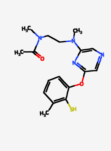 CC(=O)N(C)CCN(C)c1cncc(Oc2cccc(C)c2S)n1